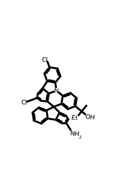 CCC(C)(O)c1ccc2c(c1)C1(c3ccccc3-c3cc(N)ccc31)c1cc(Cl)cc3c4cc(Cl)ccc4n-2c13